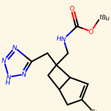 CCC1=CC2C(C1)CC2(CNC(=O)OC(C)(C)C)Cc1nn[nH]n1